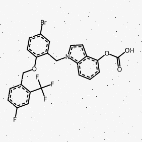 O=C(O)Oc1cccc2c1ccn2Cc1cc(Br)ccc1OCc1ccc(F)cc1C(F)(F)F